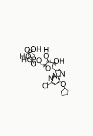 O=P(O)(O)CP(=O)(O)OC[C@H]1OC(c2cnc3c(OC4CCCC4)cc(Cl)nn23)[C@H](O)[C@@H]1O